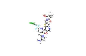 Cc1cc(C(F)(F)F)nc(-c2ccnc3cc(CN4C(=O)C5C(C4=O)C5(C)C)sc23)c1C(=O)N1CC[C@H](N(C)C)C1.Cl.Cl